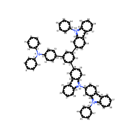 c1ccc(N(c2ccccc2)c2ccc(-c3cc(-c4ccc5c(c4)c4ccccc4n5-c4ccc5c6ccccc6n(-c6ccccc6)c5c4)cc(-c4ccc5c6ccccc6n(-c6ccccc6)c5c4)c3)cc2)cc1